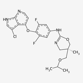 CC(C)OC[C@@]1(C)CN=C(Nc2cc(F)c(Oc3ccnc4[nH]cc(Cl)c34)c(F)c2)OC1